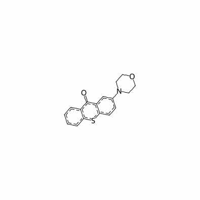 O=c1c2ccccc2sc2ccc(N3CCOCC3)cc12